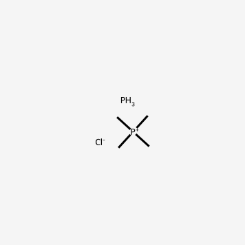 C[P+](C)(C)C.P.[Cl-]